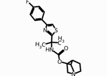 CC(C)(NC(=O)OC1CN2CCC1CC2)c1nc(-c2ccc(F)cc2)cs1